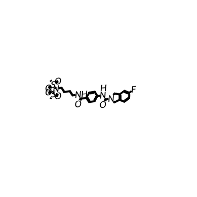 CS(=O)(=O)N(CCCCNC(=O)c1ccc(NC(=O)N2Cc3ccc(F)cc3C2)cc1)S(C)(=O)=O